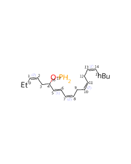 CC/C=C\CC(/C=C/C=C\C/C=C\C/C=C\CCCC)OP